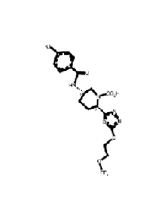 O=C(N[C@H]1CC[C@H](c2nnc(OCCOC(F)(F)F)o2)N(C(=O)O)C1)c1ccc(Cl)cc1